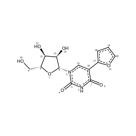 O=c1[nH]c(=O)n([C@@H]2O[C@H](CO)[C@@H](O)[C@H]2O)cc1-c1ccco1